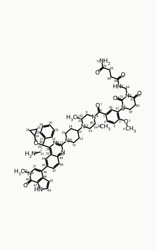 COc1ccc(C(=O)N2C[C@H](C)N(C3CCN(c4nc([C@@](CN)(OC5CC5)c5ccccc5)c5cc(-c6cn(C)c(=O)c7[nH]ccc67)ccc5n4)CC3)C[C@H]2C)cc1N1CCC(=O)N(CNC(=O)CCC(N)=O)C1=O